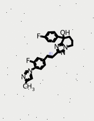 Cc1cn(-c2ccc(/C=C/c3nc4n(n3)CCCC4(O)c3ccc(F)cc3)cc2F)cn1